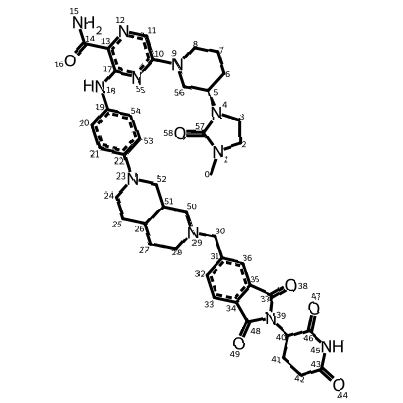 CN1CCN([C@@H]2CCCN(c3cnc(C(N)=O)c(Nc4ccc(N5CCC6CCN(Cc7ccc8c(c7)C(=O)N(C7CCC(=O)NC7=O)C8=O)CC6C5)cc4)n3)C2)C1=O